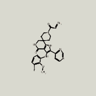 C=CC(=O)N1CCC2(CC1)CNC(=O)c1c2[nH]c(-c2ccncn2)c1Nc1cccc(F)c1OC